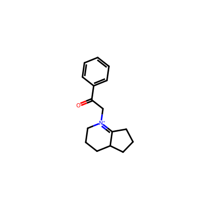 O=C(C[N+]1=C2CCCC2CCC1)c1ccccc1